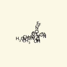 Cc1c(C(Nc2ccn3ccnc3c2)c2ccc(N3CCC(F)(F)C3)cc2F)c(C(=O)O)nn1COCC[Si](C)(C)C